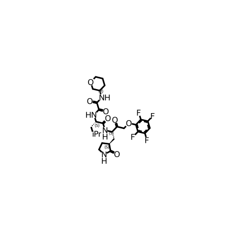 CC(C)C[C@H](NC(=O)C(=O)N[C@@H]1CCCOC1)C(=O)N[C@@H](C[C@@H]1CCNC1=O)C(=O)COc1c(F)c(F)cc(F)c1F